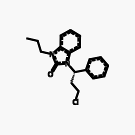 CCCn1c(=O)n([C@@H](CCCl)c2ccccc2)c2ccccc21